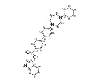 O=C(On1nnc2ccccc21)c1ccc(-c2ccc(N3CCCN(C4CCCCC4)CC3)cc2)cc1